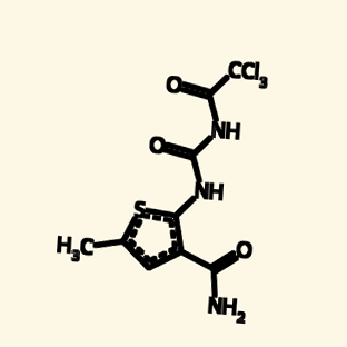 Cc1cc(C(N)=O)c(NC(=O)NC(=O)C(Cl)(Cl)Cl)s1